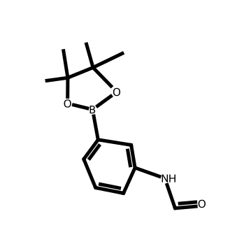 CC1(C)OB(c2cccc(NC=O)c2)OC1(C)C